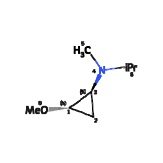 CO[C@H]1C[C@@H]1N(C)C(C)C